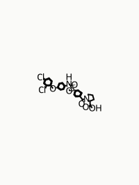 O=C(O)C1CCCN1C(=O)c1ccc(S(=O)(=O)Nc2ccc(Oc3ccc(Cl)cc3Cl)cc2)cc1